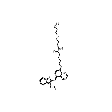 CCOCCOCCCNC(=O)CCCCCN1C=CC(=Cc2sc3ccccc3[n+]2C)c2ccccc21